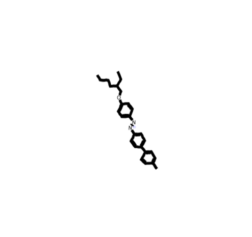 CCCCC(CC)COc1ccc(/N=N/c2ccc(-c3ccc(C)cc3)cc2)cc1